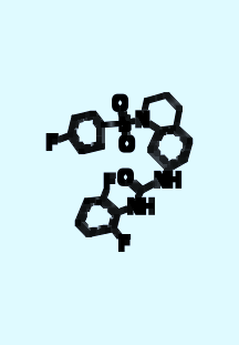 O=C(Nc1ccc2c(c1)N(S(=O)(=O)c1ccc(F)cc1)CCC2)Nc1c(F)cccc1F